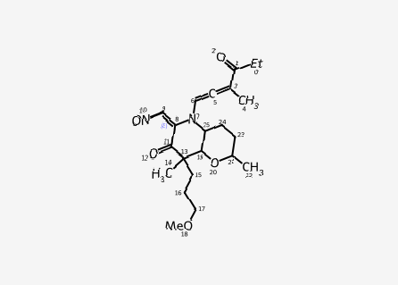 CCC(=O)C(C)=C=CN1/C(=C/N=O)C(=O)C(C)(CCCOC)C2OC(C)CCC21